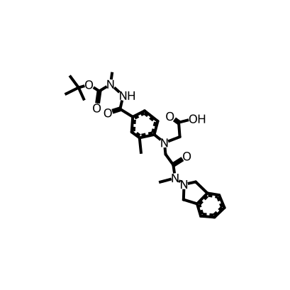 Cc1cc(C(=O)NN(C)C(=O)OC(C)(C)C)ccc1N(CC(=O)O)CC(=O)N(C)N1Cc2ccccc2C1